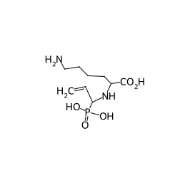 C=CC(NC(CCCCN)C(=O)O)P(=O)(O)O